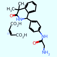 CC1(C)C(=O)NC(c2ccc(NC(=O)CN)cc2)c2ccccc21.O=C(O)/C=C\C(=O)O